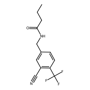 CCCC(=O)NCc1ccc(C(F)(F)F)c(C#N)c1